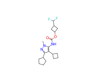 Cn1nc(C2CCCC2)c(C2CCC2)c1NC(=O)OC1CC(C(F)F)C1